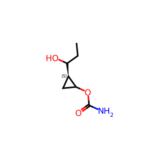 CCC(O)[C@@H]1CC1OC(N)=O